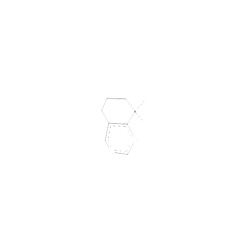 FC1(F)CCCc2cncnc21